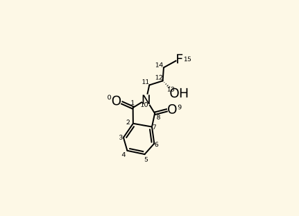 O=C1c2ccccc2C(=O)N1C[C@@H](O)CF